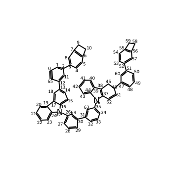 c1cc(-c2ccc3c(c2)CC3)cc(-c2ccc3c(c2)c2ccccc2n3-c2cccc(-c3cccc(-n4c5c(c6ccccc64)CC(c4cccc(-c6ccc7c(c6)CC7)c4)C=C5)c3)c2)c#1